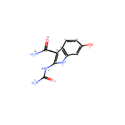 NC(=O)Nc1[nH]c2cc(O)ccc2c1C(N)=O